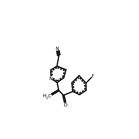 C=C(C(=O)c1ccc(F)cc1)c1ccc(C#N)cn1